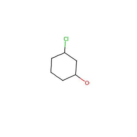 [O]C1CCCC(Cl)C1